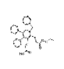 CCOOC(=O)C=Cc1c(C=CC(=O)O)c(-c2ccccc2)c(-c2ccccc2)c2c1Cc1ccccc1-2